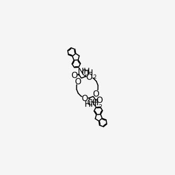 C=C1OCCCCOC(C(=O)Nc2ccc3c(c2)Cc2ccccc2-3)C(=C)OCCCCOC1C(=O)Nc1ccc2c(c1)Cc1ccccc1-2